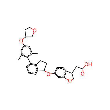 Cc1cc(OC2CCOC2)cc(C)c1-c1cccc2c1CC[C@H]2Oc1ccc2c(c1)OCC2CC(=O)O